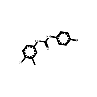 CCc1ccc(NC(=O)Nc2ccc(F)cc2)cc1C